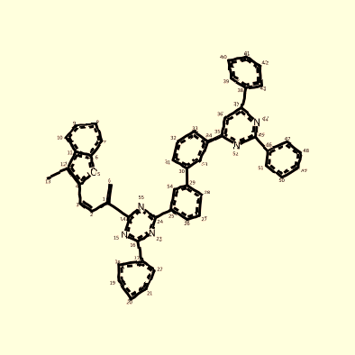 C=C(/C=C\c1oc2ccccc2c1C)c1nc(-c2ccccc2)nc(-c2cccc(-c3cccc(-c4cc(-c5ccccc5)nc(-c5ccccc5)n4)c3)c2)n1